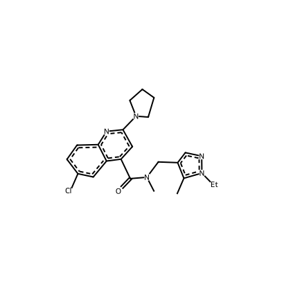 CCn1ncc(CN(C)C(=O)c2cc(N3CCCC3)nc3ccc(Cl)cc23)c1C